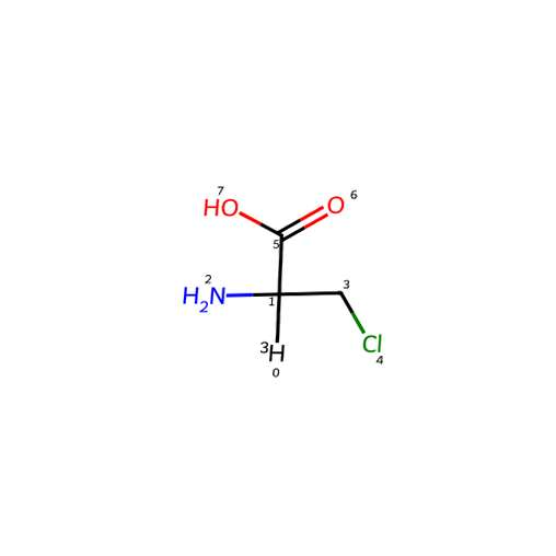 [3H]C(N)(CCl)C(=O)O